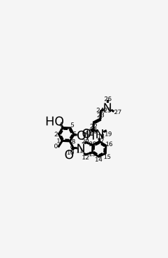 Cc1cc(O)cc(O)c1C(=O)N1Cc2cccc(N(C)C(=O)/C=C/CN(C)C)c2C1